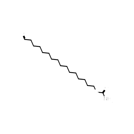 NC(=O)OCCCCCCCCCCCCCCCC=O